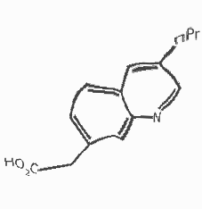 CCCc1cnc2cc(CC(=O)O)ccc2c1